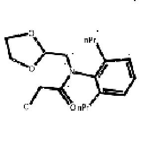 CCCc1cccc(CCC)c1N(CC1OCCO1)C(=O)CCl